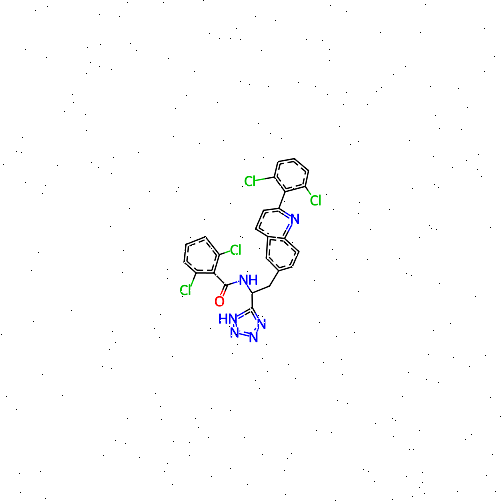 O=C(NC(Cc1ccc2nc(-c3c(Cl)cccc3Cl)ccc2c1)c1nnn[nH]1)c1c(Cl)cccc1Cl